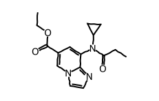 CCOC(=O)c1cc(N(C(=O)CC)C2CC2)c2nccn2c1